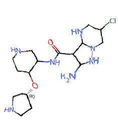 NC1NN2CC(Cl)CNC2C1C(=O)NC1CNCCC1O[C@@H]1CCNC1